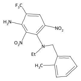 CCN(Cc1ccccc1C)c1c([N+](=O)[O-])cc(C(F)(F)F)c(N)c1[N+](=O)[O-]